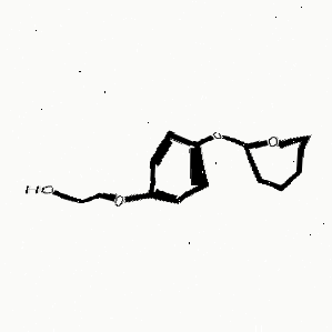 OCCOc1ccc(OC2CCCCO2)cc1